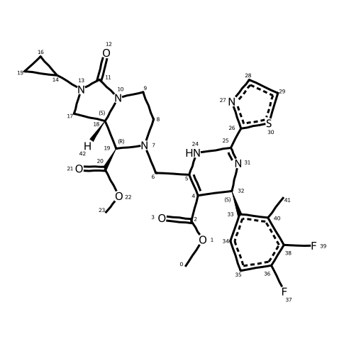 COC(=O)C1=C(CN2CCN3C(=O)N(C4CC4)C[C@H]3[C@@H]2C(=O)OC)NC(c2nccs2)=N[C@H]1c1ccc(F)c(F)c1C